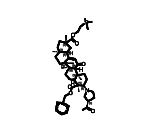 CC(=O)[C@@H]1CCN([C@H]2CC[C@@]3(C)[C@@H](CC[C@]4(C)[C@@H]3C(=O)C=C3[C@@H]5C[C@@](C)(C(=O)OCC[Si](C)(C)C)CC[C@]5(C)CC[C@]34C)[C@]2(C)C(=O)OCc2ccccc2)C1